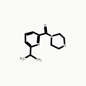 CC(C)c1cccc(C(=O)N2CCOCC2)n1